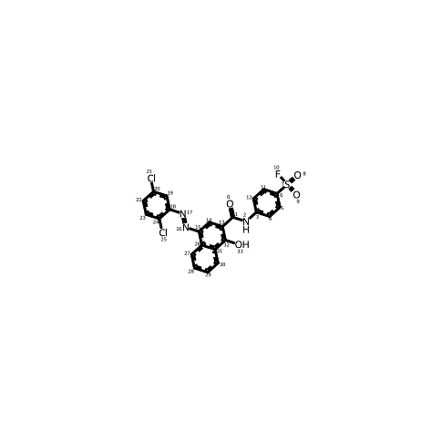 O=C(Nc1ccc(S(=O)(=O)F)cc1)c1cc(N=Nc2cc(Cl)ccc2Cl)c2ccccc2c1O